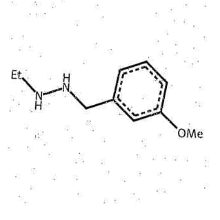 CCNNCc1cccc(OC)c1